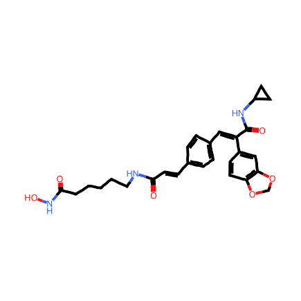 O=C(/C=C/c1ccc(/C=C(/C(=O)NC2CC2)c2ccc3c(c2)OCO3)cc1)NCCCCCC(=O)NO